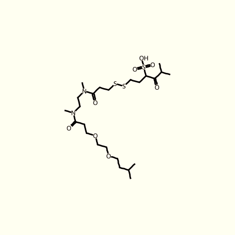 CC(C)CCOCCOCCC(=O)N(C)CCN(C)C(=O)CCSSCCC(C(=O)C(C)C)S(=O)(=O)O